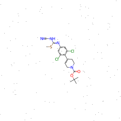 CS/C(=N\c1cc(Cl)c(C2=CCN(C(=O)OC(C)(C)C)CC2)c(Cl)c1)NC#N